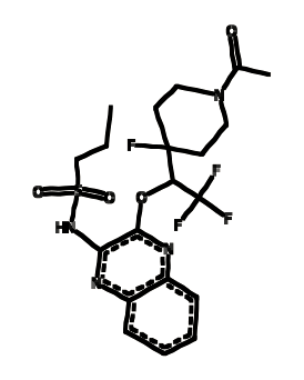 CCCS(=O)(=O)Nc1nc2ccccc2nc1OC(C(F)(F)F)C1(F)CCN(C(C)=O)CC1